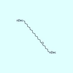 CCCCCCCCCCCCCCCCCCCCCCCCOCCCCCCCCCCCCCCC